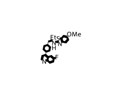 CCC(C[C@H]1CC[C@@H](c2ccnc3ccc(F)cc32)CC1)Nc1nc2ccc(OC)cc2s1